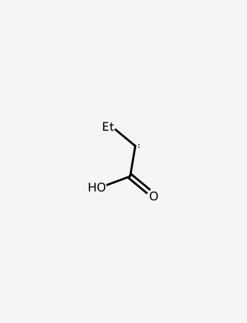 [CH2]C[C]C(=O)O